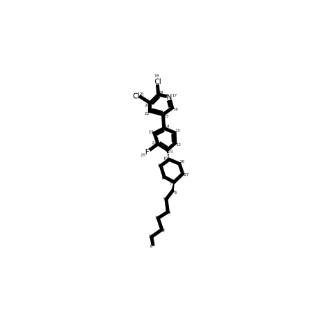 CCCCCCC[C@H]1CC[C@H](c2ccc(-c3cnc(Cl)c(Cl)c3)cc2F)CC1